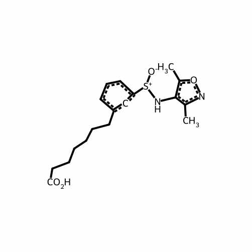 Cc1noc(C)c1N[S+]([O-])c1cccc(CCCCCCC(=O)O)c1